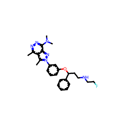 Cc1nnc(N(C)C)c2nn(-c3cccc(OC(CCNCCF)c4ccccc4)c3)c(C)c12